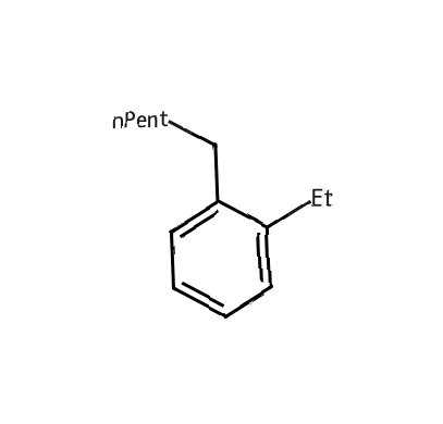 [CH2]Cc1ccccc1CCC[CH]CC